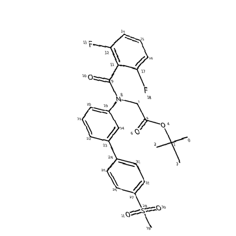 CC(C)(C)OC(=O)CN(C(=O)c1c(F)cccc1F)c1cccc(-c2ccc(S(C)(=O)=O)cc2)c1